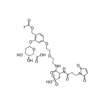 O=C(CCN1C(=O)C=CC1=O)N[C@@H](CS(=O)(=O)O)C(=O)NCCOCCOc1ccc(COC(=O)I)c(O[C@H]2C[C@@H](O)[C@H](O)[C@@H](C(=O)O)O2)c1